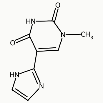 Cn1cc(-c2ncc[nH]2)c(=O)[nH]c1=O